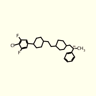 C[C@H](CC1CCC(CCC2CCC(c3cc(F)c(Cl)c(F)c3)CC2)CC1)c1ccccc1